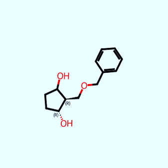 OC1CC[C@@H](O)[C@@H]1COCc1ccccc1